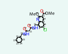 COC(=O)c1cc2cc(Cl)cc(CNC(=O)CC(=O)NCc3ccccc3)c2nc1OC